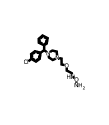 NONCCOCCN1CCN(C(c2ccccc2)c2ccc(Cl)cc2)CC1